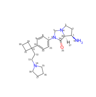 N[C@@H]1CCN2CN(c3ccc(C4(CCN5CCCC5)CCC4)cc3)C(=O)[C@H]12